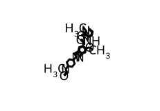 COc1cc2nn(C3CCC(N(C)C=O)CC3)cc2cc1C(=O)Nc1cccn(C)c1=O